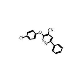 N#Cc1cc(-c2ccccc2)nnc1Oc1ccc(Cl)cc1